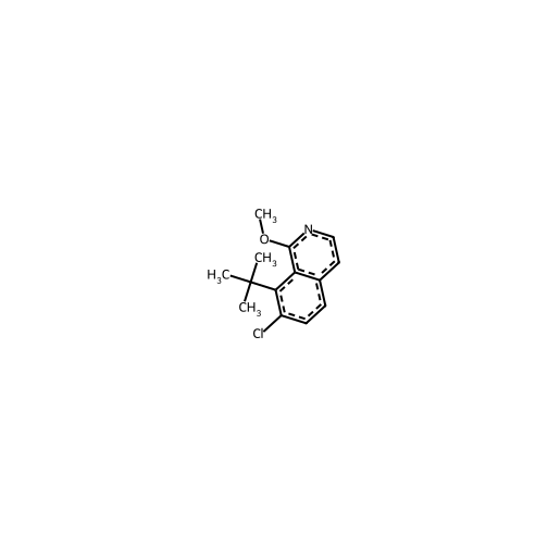 COc1nccc2ccc(Cl)c(C(C)(C)C)c12